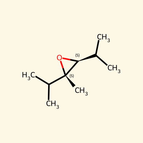 CC(C)[C@@H]1O[C@@]1(C)C(C)C